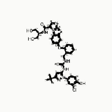 CC(C)(C)c1cc(NC(=O)NCc2ccccc2Oc2ccc3c(c2)sc2ncc(C(=O)NC(CO)CO)n23)n(-c2ccc(O)c(Cl)c2)n1